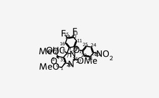 COCC1=C(C(=O)OC)C(C=O)(c2ccc(F)c(F)c2)N(Oc2ccc([N+](=O)[O-])cc2)C(OC)=N1